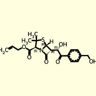 C=CCOC(=O)[C@@H]1N2C(=O)[C@@H]([C@H](O)C(=O)c3ccc(CO)cc3)[C@H]2SC1(C)C